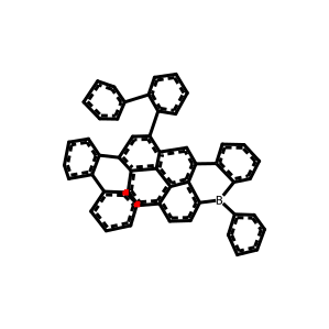 c1ccc(B2c3ccccc3-c3cc4c(-c5ccccc5-c5ccccc5)cc(-c5ccccc5-c5ccccc5)c5ccc6ccc2c3c6c54)cc1